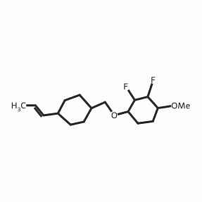 C/C=C/C1CCC(COC2CCC(OC)C(F)C2F)CC1